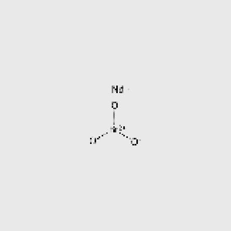 [Nd+].[O-][Br+2]([O-])[O-]